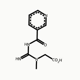 CN(CC(=O)O)C(=N)NC(=O)c1cccnc1